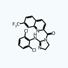 O=C(c1ccc2ccc(C(F)(F)F)cc2n1)N1CCN=C1Nc1c(Cl)cccc1Cl